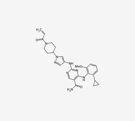 C=CC(=O)N1CCC(n2cc(Nc3ncc(C(N)=O)c(Nc4c(OC)cccc4C4CC4)n3)cn2)CC1